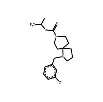 CC(OC(=O)N1CCC2(CCCN2Cc2cccc(Cl)c2)CC1)C(F)(F)F